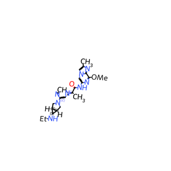 C=N/C(=C\N=C(/C)C(=O)Nc1cn2cc(C)nc2c(OC)n1)N1C[C@@H]2[C@H](C1)[C@H]2NCC